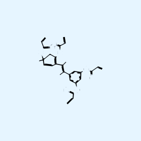 C=CC(=O)OC1=C(/C(C)=C(\C)c2cc(OC(=O)C=C)cc(OC(=O)C=C)c2)C=CC(C)(OC(=O)C=C)C1